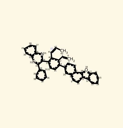 C=Cc1c(-c2ccc3c(ccc4c5ccccc5oc34)c2)ccc(-c2nc3ccccc3nc2-c2ccccc2)c1/C=C\C